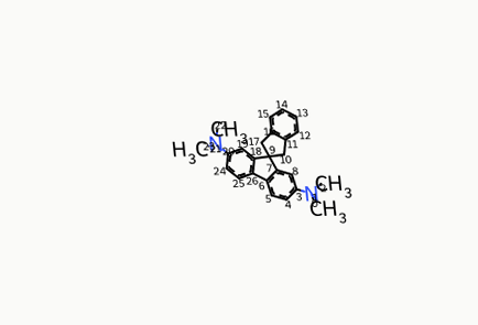 CN(C)c1ccc2c(c1)C1(Cc3ccccc3C1)c1cc(N(C)C)ccc1-2